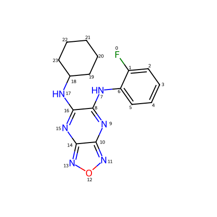 Fc1ccccc1Nc1nc2nonc2nc1NC1CCCCC1